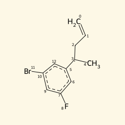 C=CC[C](C)c1cc(F)cc(Br)c1